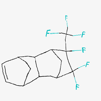 FC(F)(F)C1(F)C2CC(C3C4C=CC(C4)C32)C1(F)F